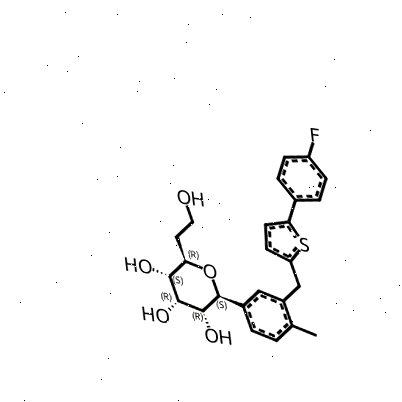 Cc1ccc([C@@H]2O[C@H](CCO)[C@@H](O)[C@@H](O)[C@H]2O)cc1Cc1ccc(-c2ccc(F)cc2)s1